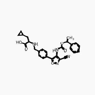 CC(OC(=O)Nc1c(C#N)noc1-c1ccc(CNC(CC2CC2)C(=O)O)cc1)c1ccccc1